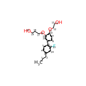 CCCc1ccc(-c2ccc(OCCO)c(OCCCO)c2)c(F)c1